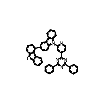 c1ccc(-c2nc(-c3ccccc3)nc(-c3ccnc(-n4c5ccccc5c5cc(-c6cccc7oc8ccccc8c67)ccc54)c3)n2)cc1